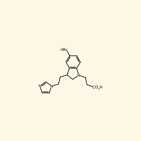 CCCCc1ccc2c(c1)C(CCn1ccnc1)CN2CCC(=O)O